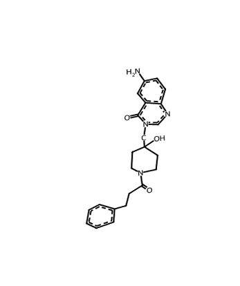 Nc1ccc2ncn(CC3(O)CCN(C(=O)CCc4ccccc4)CC3)c(=O)c2c1